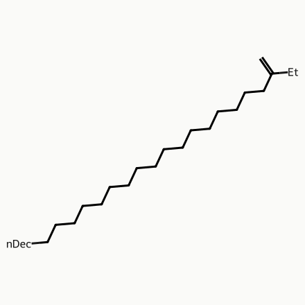 C=C(CC)CCCCCCCCCCCCCCCCCCCCCCCCCCC